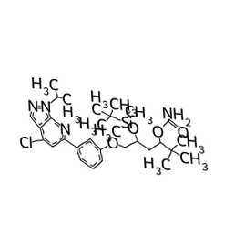 CC(C)n1ncc2c(Cl)cc(-c3cccc(OCC(CC(OC(N)=O)C(C)(C)C)O[Si](C)(C)C(C)(C)C)c3)nc21